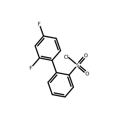 O=S(=O)(Cl)c1ccccc1-c1ccc(F)cc1F